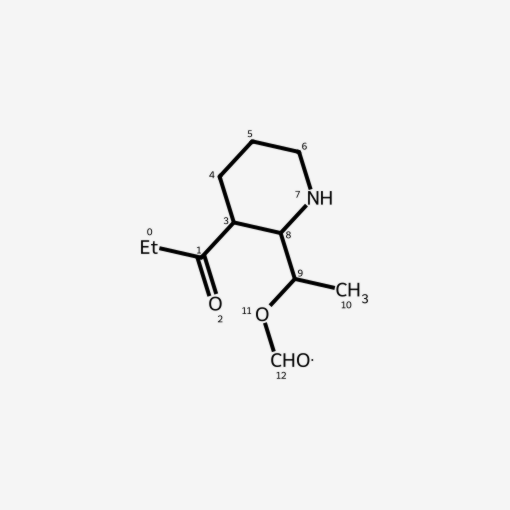 CCC(=O)C1CCCNC1C(C)O[C]=O